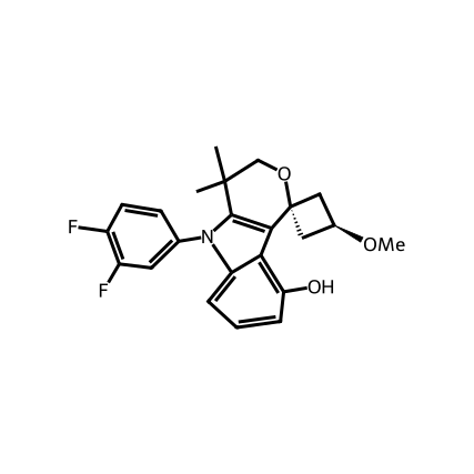 CO[C@H]1C[C@@]2(C1)OCC(C)(C)c1c2c2c(O)cccc2n1-c1ccc(F)c(F)c1